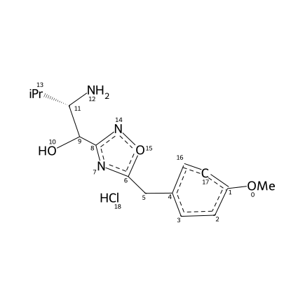 COc1ccc(Cc2nc(C(O)[C@@H](N)C(C)C)no2)cc1.Cl